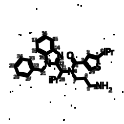 CC(C)c1cc(C(=O)N(CCCN)C(c2nc3ccccc3n2Cc2ccccc2)C(C)C)cs1